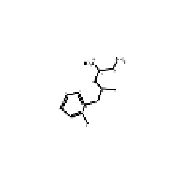 Cc1ccccc1CC(C)CC(CN)C(=O)O